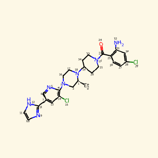 CC[C@H]1CN(c2ncc(-c3ncc[nH]3)cc2Cl)CCN1C1CCN(C(=O)c2ccc(Cl)cc2N)CC1